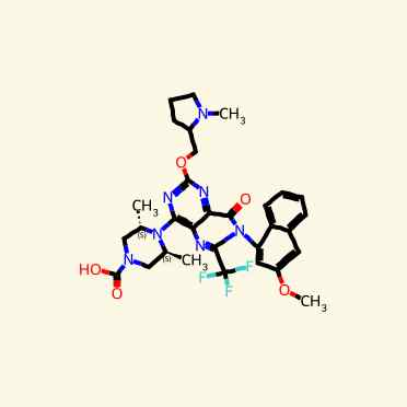 COc1cc(-n2c(C(F)(F)F)nc3c(N4[C@@H](C)CN(C(=O)O)C[C@@H]4C)nc(OCC4CCCN4C)nc3c2=O)c2ccccc2c1